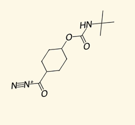 CC(C)(C)NC(=O)OC1CCC(C(=O)[N+]#N)CC1